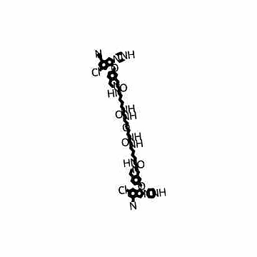 N#Cc1cc(Cl)cc2c1C[C@H](N1CCNCC1)[C@H]2Oc1ccc2c(c1)CN(C(=O)NCCCCNC(=O)NCCOCCNC(=O)NCCCCNC(=O)N1CCc3ccc(O[C@H]4c5cc(Cl)cc(C#N)c5C[C@@H]4N4CCNCC4)cc3C1)CC2